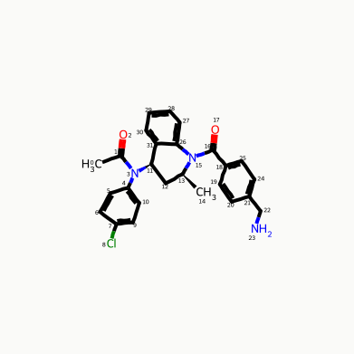 CC(=O)N(c1ccc(Cl)cc1)[C@@H]1C[C@H](C)N(C(=O)c2ccc(CN)cc2)c2ccccc21